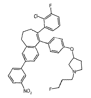 O=[N+]([O-])c1cccc(-c2ccc3c(c2)CCCC(c2cccc(F)c2Cl)=C3c2ccc(OC3CCN(CCCF)C3)cc2)c1